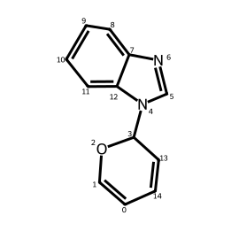 C1=COC(n2cnc3ccccc32)C=C1